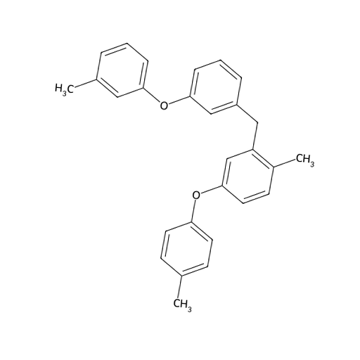 Cc1ccc(Oc2ccc(C)c(Cc3cccc(Oc4cccc(C)c4)c3)c2)cc1